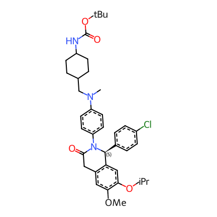 COc1cc2c(cc1OC(C)C)[C@H](c1ccc(Cl)cc1)N(c1ccc(N(C)CC3CCC(NC(=O)OC(C)(C)C)CC3)cc1)C(=O)C2